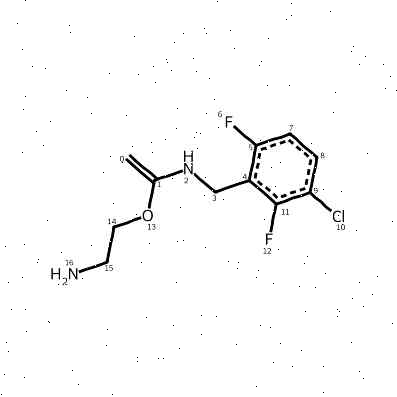 C=C(NCc1c(F)ccc(Cl)c1F)OCCN